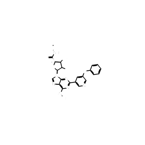 CNc1nc(-c2cncc(Oc3ccccc3)c2)nc2c1ncn2C1O[C@@H](C(=O)NOC)C(O)C1O